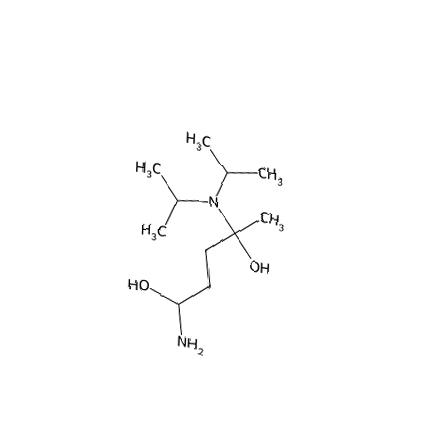 CC(C)N(C(C)C)C(C)(O)CCC(N)O